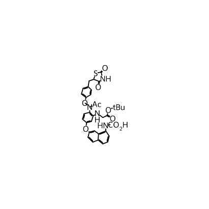 CC(=O)N(Oc1ccc(CC2SC(=O)NC2=O)cc1)c1ccc(Oc2ccc3cccc(NC(=O)O)c3c2)cc1NCC(=O)OC(C)(C)C